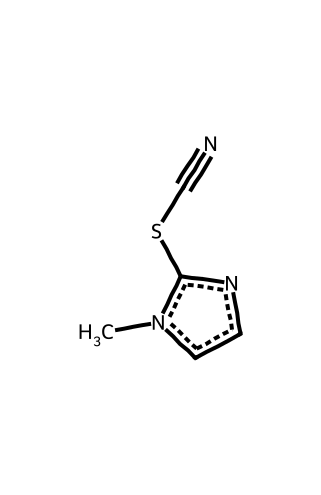 Cn1ccnc1SC#N